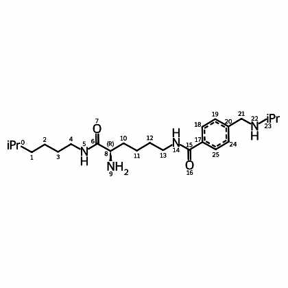 CC(C)CCCCNC(=O)[C@H](N)CCCCNC(=O)c1ccc(CNC(C)C)cc1